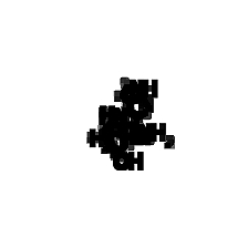 Br.NC(=O)c1cnc2[nH]ccc2c1N[C@H]1C2C[C@H]3C[C@H]1C[C@](O)(C2)C3